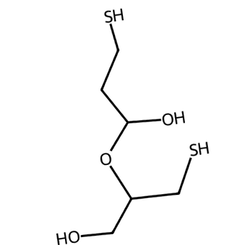 OCC(CS)OC(O)CCS